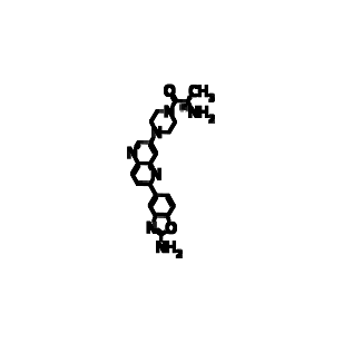 C[C@@H](N)C(=O)N1CCN(c2cnc3ccc(-c4ccc5oc(N)nc5c4)nc3c2)CC1